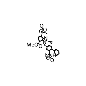 COC(=O)c1ccc(-c2oc(=O)oc2C)c2nc(C3CC3)n(Cc3ccc(-c4ccccc4)c(-c4noc(=O)[nH]4)c3)c12